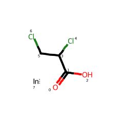 O=C(O)C(Cl)CCl.[In]